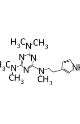 CN(C)c1nc(N(C)C)nc(N(C)CCc2cc[nH]c2)n1